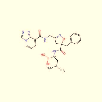 CC(C)C[C@H](NC(=O)C1(Cc2ccccc2)CC(CNC(=O)c2cccn3cnnc23)=NO1)B(O)O